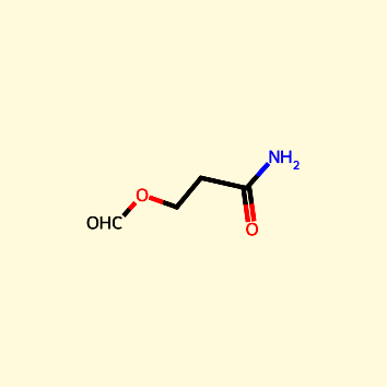 NC(=O)CCOC=O